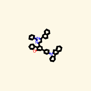 C1=C(C2=c3c(oc4ccccc34)=CC(c3ccc(-n4c5ccccc5c5cc6ccccc6cc54)cc3)C2)N=C(c2ccccc2)NC1c1ccc2ccccc2c1